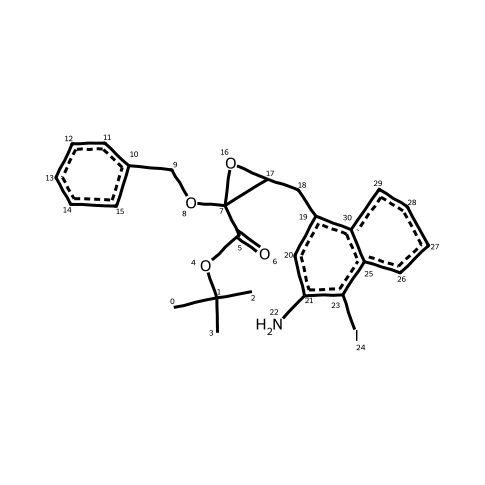 CC(C)(C)OC(=O)C1(OCc2ccccc2)OC1Cc1cc(N)c(I)c2ccccc12